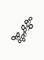 Cc1ccccc1N(c1cc2oc3c4cccc5c4c(cc3c2c2ccccc12)N(c1cccc2c1oc1ccccc12)c1ccccc1-5)c1cccc2c1oc1ccccc12